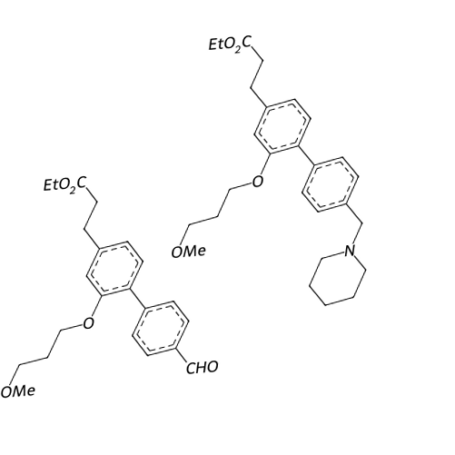 CCOC(=O)CCc1ccc(-c2ccc(C=O)cc2)c(OCCCOC)c1.CCOC(=O)CCc1ccc(-c2ccc(CN3CCCCC3)cc2)c(OCCCOC)c1